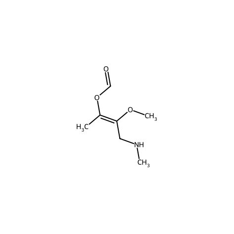 CNC/C(OC)=C(\C)OC=O